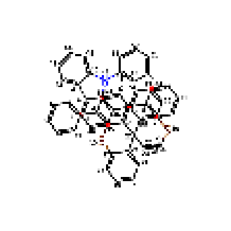 c1ccc(-c2ccc(-c3ccccc3)c3c2Sc2ccccc2C32c3ccccc3Sc3cccc(-c4cccc5c6ccccc6n(-c6ccccc6)c45)c32)cc1